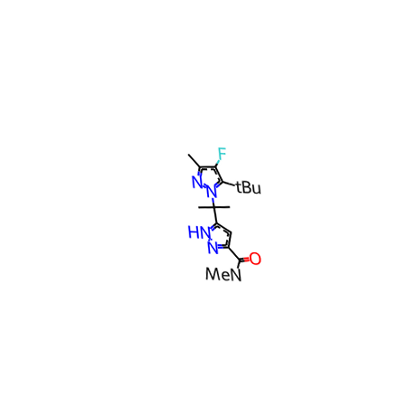 CNC(=O)c1cc(C(C)(C)n2nc(C)c(F)c2C(C)(C)C)[nH]n1